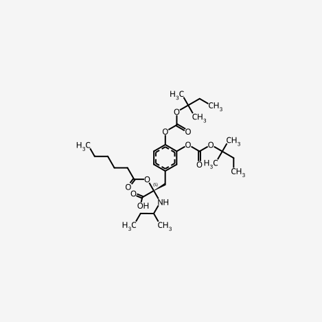 CCCCCC(=O)O[C@](Cc1ccc(OC(=O)OC(C)(C)CC)c(OC(=O)OC(C)(C)CC)c1)(NC(C)CC)C(=O)O